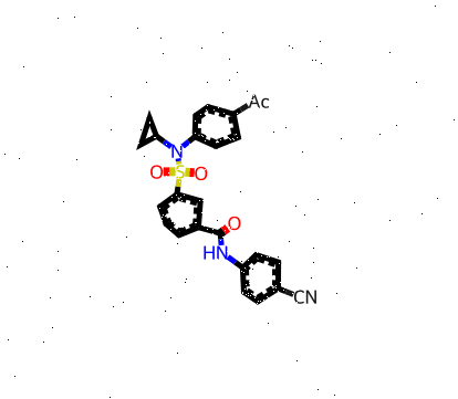 CC(=O)c1ccc(N(C2CC2)S(=O)(=O)c2cccc(C(=O)Nc3ccc(C#N)cc3)c2)cc1